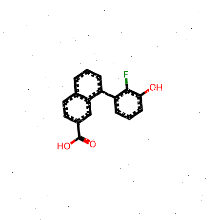 O=C(O)c1ccc2cccc(-c3cccc(O)c3F)c2c1